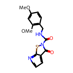 COc1ccc(CNC(=O)n2sc3ncccc3c2=O)c(OC)c1